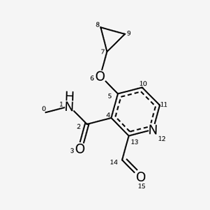 CNC(=O)c1c(OC2CC2)ccnc1C=O